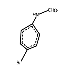 O=[C]Nc1ccc(Br)cc1